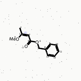 CO/C(C)=C\C(=O)OCc1ccccc1